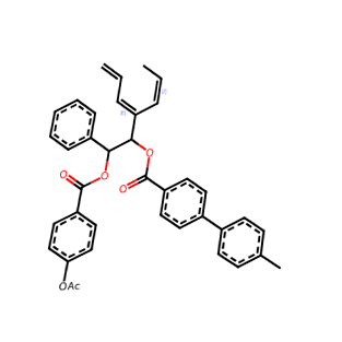 C=C/C=C(\C=C/C)C(OC(=O)c1ccc(-c2ccc(C)cc2)cc1)C(OC(=O)c1ccc(OC(C)=O)cc1)c1ccccc1